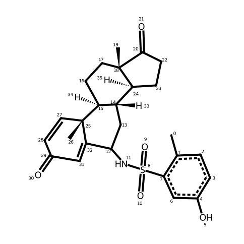 Cc1ccc(O)cc1S(=O)(=O)NC1C[C@@H]2[C@H](CC[C@]3(C)C(=O)CC[C@@H]23)[C@@]2(C)C=CC(=O)C=C12